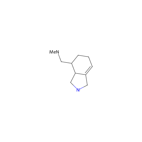 CNCC1CCC=C2C[N]CC21